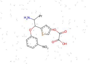 CC(C)C(N)C(Oc1cccc([N+](=O)[O-])c1)c1cccs1.O=C(O)C(=O)O